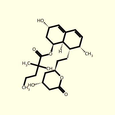 CCCC(C)(C)C(=O)O[C@H]1C[C@H](O)C=C2C=C[C@H](C)[C@H](CC[C@@H]3C[C@@H](O)CC(=O)O3)[C@H]21